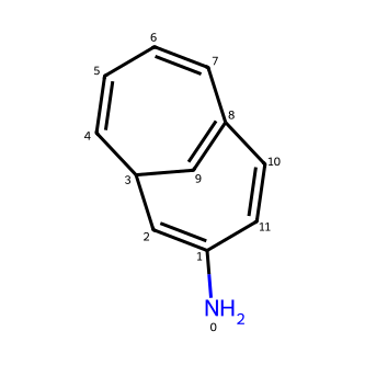 NC1=CC2C=CC=CC(=C2)C=C1